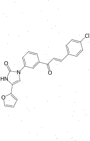 O=C(C=Cc1ccc(Cl)cc1)c1cccc(-n2cc(-c3ccco3)[nH]c2=O)c1